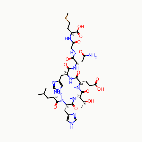 CSCC[C@H](NC(=O)CNC(=O)[C@H](CC(N)=O)NC(=O)[C@H](Cc1c[nH]cn1)NC(=O)[C@H](CCC(=O)O)NC(=O)[C@@H](NC(=O)[C@H](Cc1c[nH]cn1)NC(=O)[C@@H](N)CC(C)C)[C@@H](C)O)C(=O)O